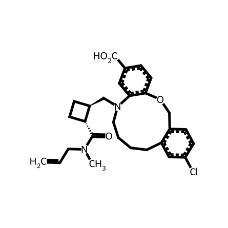 C=CCN(C)C(=O)[C@@H]1CC[C@H]1CN1CCCCc2cc(Cl)ccc2COc2ccc(C(=O)O)cc21